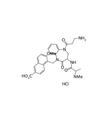 CNC(C)C(=O)NC1CN(C(=O)CCN)c2ccccc2N(Cc2c(OC)ccc3cc(C(=O)O)ccc23)C1=O.Cl